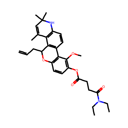 C=CCC1Oc2ccc(OC(=O)CCC(=O)N(CC)CC)c(OC)c2-c2ccc3c(c21)C(C)=CC(C)(C)N3